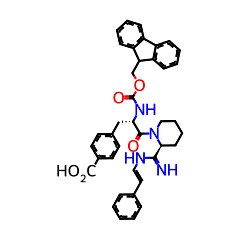 N=C(N/C=C/c1ccccc1)[C@@H]1CCCCN1C(=O)[C@H](Cc1ccc(C(=O)O)cc1)NC(=O)OCC1c2ccccc2-c2ccccc21